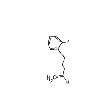 C=C(CC)CCCc1ccccc1I